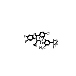 Cc1cc(-c2nnn[nH]2)cc(C)c1OCC(C1CC1)n1c(-c2ccc(Cl)cc2)nc2cc(F)c(F)cc21